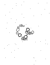 CC(C)(C)CN1CCC(Oc2ccc(-c3n[nH]c4ccc(C(=O)N[C@H](c5ccccn5)C5CCCC5)cc34)cc2)CC1